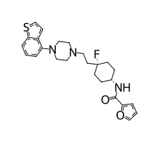 O=C(N[C@H]1CC[C@](F)(CCN2CCN(c3cccc4sccc34)CC2)CC1)c1ccco1